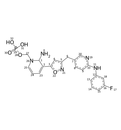 NC1C(c2cc(Cc3ccc(Nc4cccc(F)c4)nc3)no2)=CC=CN1COP(=O)(O)O